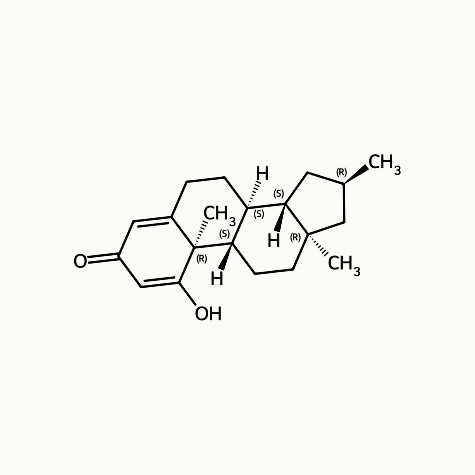 C[C@@H]1C[C@H]2[C@@H]3CCC4=CC(=O)C=C(O)[C@]4(C)[C@H]3CC[C@]2(C)C1